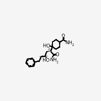 NC(=O)C1CCC(O)([C@H](C[C@@H](O)[CH]Cc2ccccc2)C(N)=O)CC1